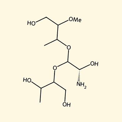 COC(CO)C(C)OC(OC(CO)C(C)O)[C@@H](N)O